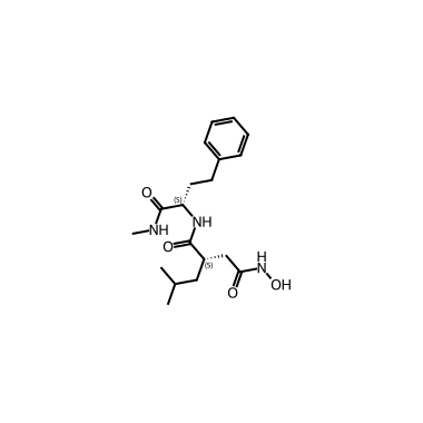 CNC(=O)[C@H](CCc1ccccc1)NC(=O)[C@H](CC(=O)NO)CC(C)C